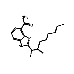 CCCCCCC(C)C(C)c1nc2c(C(N)=O)cccc2[nH]1